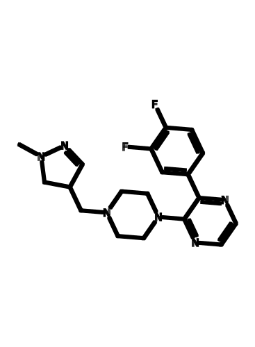 CN1CC(CN2CCN(c3nccnc3-c3ccc(F)c(F)c3)CC2)C=N1